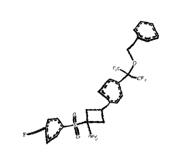 NC1(S(=O)(=O)c2ccc(F)cc2)CC(c2ccc(C(OCc3ccccc3)(C(F)(F)F)C(F)(F)F)cc2)C1